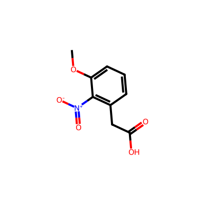 COc1cccc(CC(=O)O)c1[N+](=O)[O-]